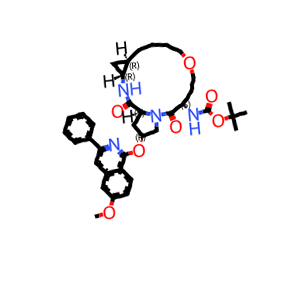 COc1ccc2c(O[C@@H]3C[C@H]4C(=O)N[C@@H]5C[C@H]5CCCCOCC[C@H](NC(=O)OC(C)(C)C)C(=O)N4C3)nc(-c3ccccc3)cc2c1